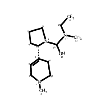 CN1CC=C([C@@H]2CCCN2C(O)N(C)CC(F)(F)F)CC1